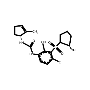 CC1=CCC[C@H]1NC(=O)Nc1ccc(Cl)c(S(=O)(=O)C2CCC[C@@H]2O)c1O